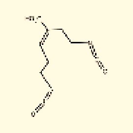 O=C=NCCC=C(CCN=C=O)C(=O)O